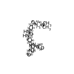 CN(C)C1CCN(C(=O)c2ccc(NC(=O)Nc3ccc(-c4nc(N5CCOCC5)c5c(n4)N4CCOCC4C5)cc3)cc2)CC1